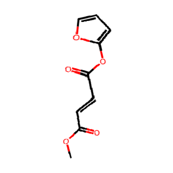 COC(=O)/C=C/C(=O)Oc1ccco1